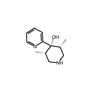 C[C@@H]1CNC[C@H](C)[C@@]1(O)c1ccccn1